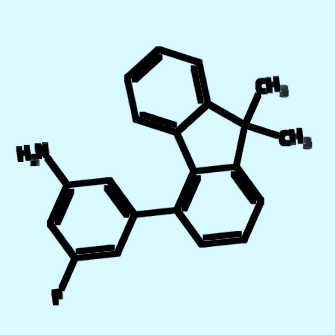 CC1(C)c2ccccc2-c2c(-c3cc(N)cc(F)c3)cccc21